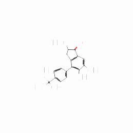 Cc1cc2c(c(-c3ccc(C(C)(C)C)cc3)c1C)CC(C)C2=O